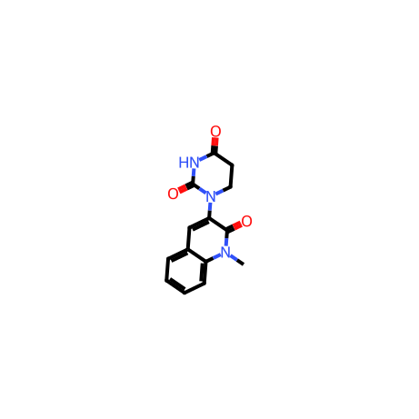 Cn1c(=O)c(N2CCC(=O)NC2=O)cc2ccccc21